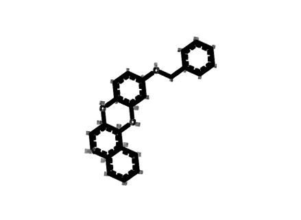 c1ccc(COc2ccc3c(c2)Oc2c(cnc4ccccc24)O3)cc1